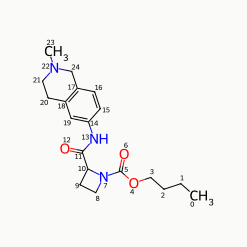 CCCCOC(=O)N1CCC1C(=O)Nc1ccc2c(c1)CCN(C)C2